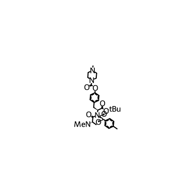 CN[C@@H](C)C(=O)N([C@@H](Cc1ccc(OC(=O)N2CCN(C)CC2)cc1)C(=O)OC(C)(C)C)S(=O)(=O)c1ccc(C)cc1